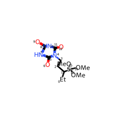 CCC(CCn1c(=O)[nH]c(=O)[nH]c1=O)[Si](OC)(OC)OC